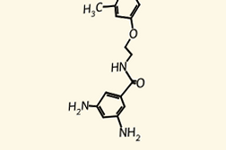 Cc1cccc(OCCNC(=O)c2cc(N)cc(N)c2)c1